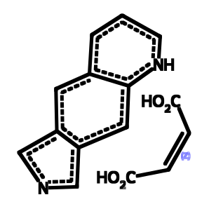 O=C(O)/C=C\C(=O)O.c1c[nH]c2cc3cncc3cc2c1